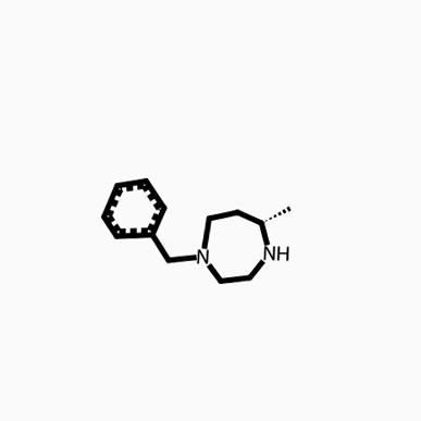 C[C@H]1CCN(Cc2ccccc2)CCN1